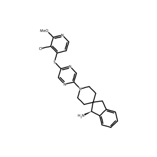 COc1nccc(Sc2cnc(N3CCC4(CC3)Cc3ccccc3[C@H]4N)cn2)c1Cl